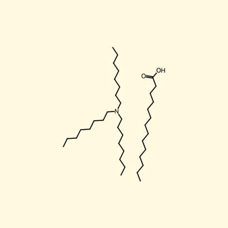 CCCCCCCCCCCCCC(=O)O.CCCCCCCCN(CCCCCCCC)CCCCCCCC